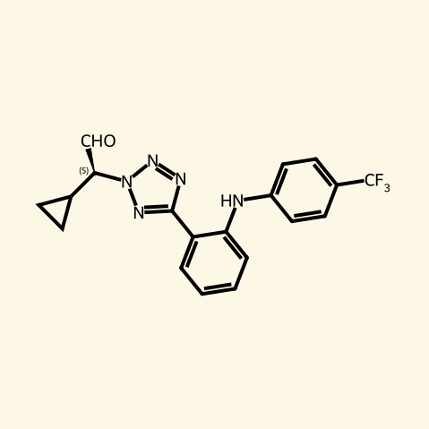 O=C[C@H](C1CC1)n1nnc(-c2ccccc2Nc2ccc(C(F)(F)F)cc2)n1